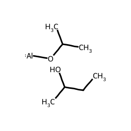 CC(C)[O][Al].CCC(C)O